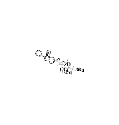 CCn1c(-c2ccccc2)cc2ccc(OC(C)(S)CC(C)(C)OC(=O)C(C)(CC(C)(C)C)C(C)(C)C)cc21